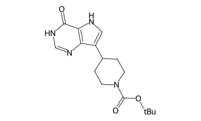 CC(C)(C)OC(=O)N1CCC(c2c[nH]c3c(=O)[nH]cnc23)CC1